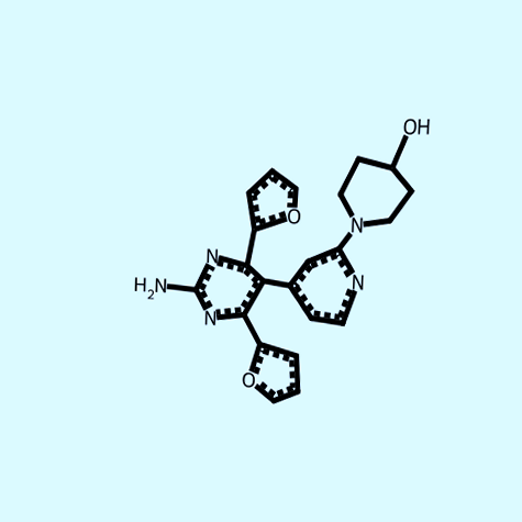 Nc1nc(-c2ccco2)c(-c2ccnc(N3CCC(O)CC3)c2)c(-c2ccco2)n1